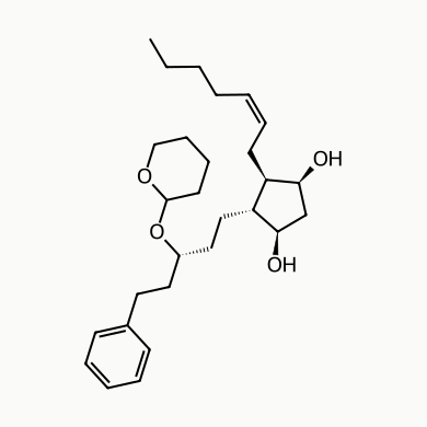 CCCC/C=C\C[C@@H]1[C@@H](CC[C@H](CCc2ccccc2)OC2CCCCO2)[C@H](O)C[C@@H]1O